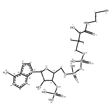 CC(C)CCNC(=O)C(O)C(C)(C)COP(=O)(O)OP(=O)(O)OCC1OC(n2cnc3c(N)ncnc32)C(O)C1OP(=O)(O)O